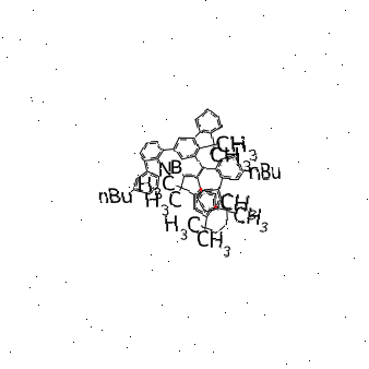 CCCCc1ccc(C2C3=C(B4c5c(cc6c(c52)C(C)(C)c2ccccc2-6)-c2cccc5c6cc(CCCC)ccc6n4c25)C(C)(C)c2cc4c(cc23)C(C)(C)CCC4(C)C)c(-c2ccccc2)c1